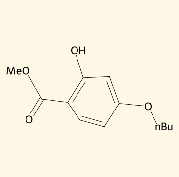 CCCCOc1ccc(C(=O)OC)c(O)c1